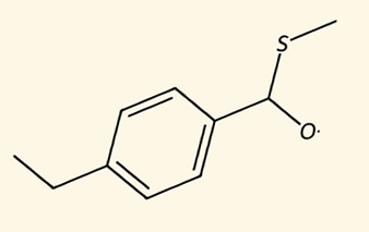 CCc1ccc(C([O])SC)cc1